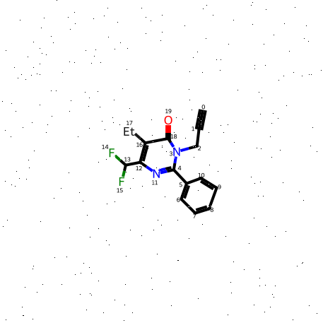 C#CCn1c(-c2ccccc2)nc(C(F)F)c(CC)c1=O